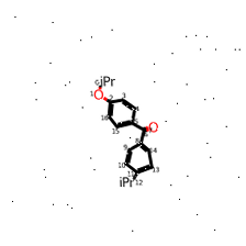 CC(C)Oc1ccc(C(=O)c2ccc(C(C)C)cc2)cc1